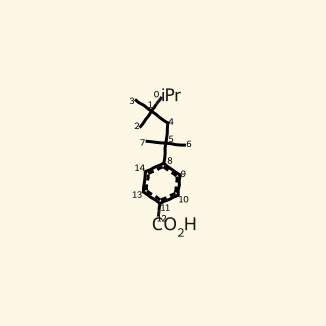 CC(C)C(C)(C)CC(C)(C)c1ccc(C(=O)O)cc1